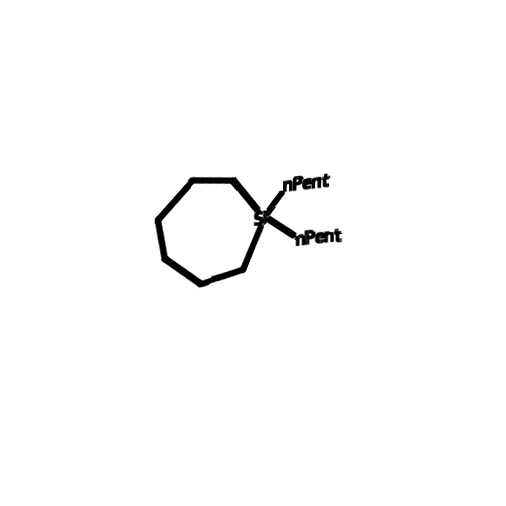 CCCCC[Si]1(CCCCC)CCCCCC1